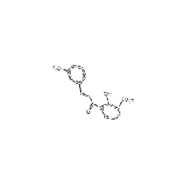 O=C(O)c1cccc(C(=O)C=Cc2cccc(C(F)(F)F)c2)c1O